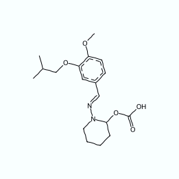 COc1ccc(C=NN2CCCCC2OC(=O)O)cc1OCC(C)C